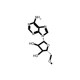 COC[C@H]1O[C@@H](n2cnc3c(N)ncnc32)C(O)C1O